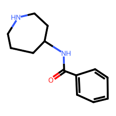 O=C(NC1CCCNCC1)c1ccccc1